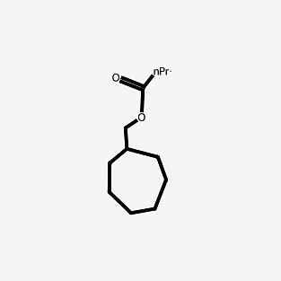 CC[CH]C(=O)OCC1CCCCCC1